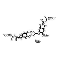 COc1cc2c(cc1OCCCOc1cc3cc(C(=O)C[C@H](C)C(=O)[O-])sc3cc1OC)CN(C(=O)C[C@H](C)C(=O)[O-])C2.[Na+].[Na+]